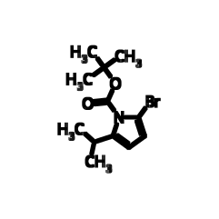 CC(C)c1ccc(Br)n1C(=O)OC(C)(C)C